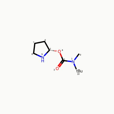 CN(C(=O)O[C@H]1CCCN1)C(C)(C)C